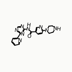 O=C(Nc1ncnc(-c2ccccn2)n1)c1ccc(N2CCNCC2)nc1